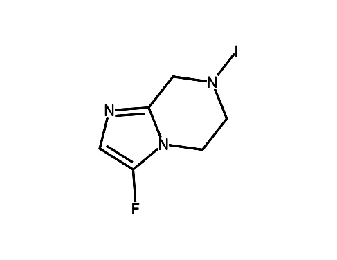 Fc1cnc2n1CCN(I)C2